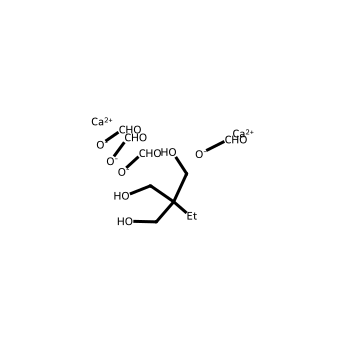 CCC(CO)(CO)CO.O=C[O-].O=C[O-].O=C[O-].O=C[O-].[Ca+2].[Ca+2]